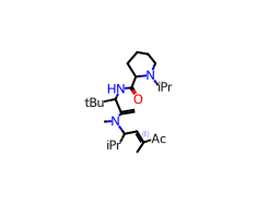 C=C(C(NC(=O)C1CCCCN1C(C)C)C(C)(C)C)N(C)C(/C=C(\C)C(C)=O)C(C)C